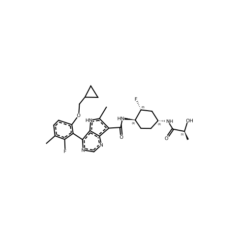 Cc1ccc(OCC2CC2)c(-c2ncnc3c(C(=O)N[C@@H]4CC[C@@H](NC(=O)[C@H](C)O)C[C@H]4F)c(C)[nH]c23)c1F